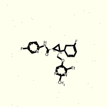 CCc1nc(C)ncc1OC[C@@]1(C2C=CC=C(F)C2)C[C@H]1C(=O)Nc1ccc(F)cn1